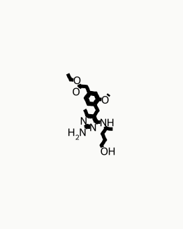 CCOC(=O)Cc1ccc(Cc2c(C)nc(N)nc2NC(C)CCCO)c(OC)c1